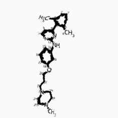 Cc1cccc(C)c1-c1ccnc(Nc2cccc(OCCCN3CCN(C)CC3)c2)n1